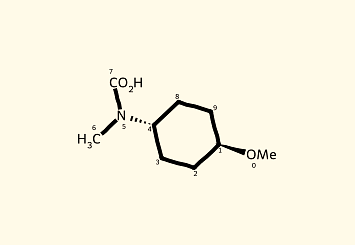 CO[C@H]1CC[C@H](N(C)C(=O)O)CC1